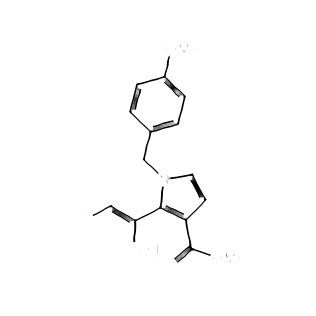 CCOC(=O)C(=CO)c1c(C(=O)OC)ccn1Cc1ccc(OC)cc1